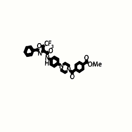 COC(=O)C1CCC(C(=O)N2CCN(c3ccc(NC(=O)c4nc(-c5ccccc5)oc4C(F)(F)F)cc3)CC2)CC1